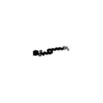 CCCCCCCC1CC=C(CCCC(=O)Oc2ccccc2)CC1